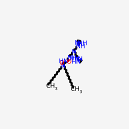 CCCCCCCCCCCCCCN(CCCCCCCCCCCCCC)C(=O)CNC(=O)CNCCCN(CCCNC1=NCCN1)CCCNC1=NCCN1